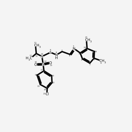 Cc1ccc(N=CCNSN(C(C)C)S(=O)(=O)c2ccc(Cl)cc2)c(C)c1